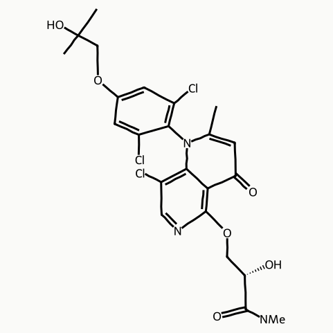 CNC(=O)[C@@H](O)COc1ncc(Cl)c2c1c(=O)cc(C)n2-c1c(Cl)cc(OCC(C)(C)O)cc1Cl